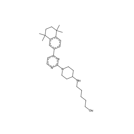 CC1(C)CCC(C)(C)c2cc(-c3ccnc(N4CCC(NCCCCCO)CC4)n3)ccc21